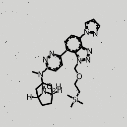 CN(c1ccc(-c2ccc(-n3cccn3)c3nnn(COCC[Si](C)(C)C)c23)nn1)C1C[C@H]2CC[C@@H](C1)N2C(=O)O